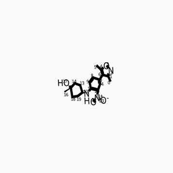 Cc1noc(C)c1-c1ccc(N[C@H]2CC[C@@](C)(O)CC2)c([N+](=O)[O-])c1